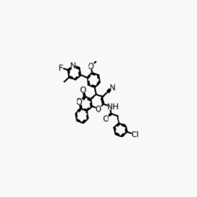 COc1ccc(C2C(C#N)=C(NC(=O)Cc3cccc(Cl)c3)Oc3c2c(=O)oc2ccccc32)cc1-c1cnc(F)c(C)c1